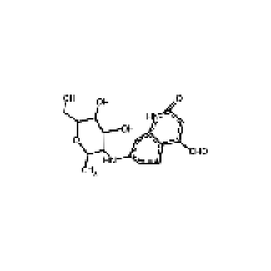 CC1OC(CO)C(O)C(O)C1Nc1ccc2c(C=O)cc(=O)[nH]c2c1